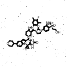 CC[P@@](=O)(CCO)c1ccc(-n2ccn(-c3c4c(nn3-c3cc(C)c(F)c(C)c3)CCN(C(=O)c3cc5cc(C6CCOCC6)ccc5n3[C@@]3(c5noc(=O)[nH]5)C[C@@H]3C)[C@H]4C)c2=O)cc1NC